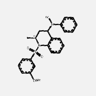 COc1cccc(S(=O)(=O)N2c3ccccc3C(N(C(C)=O)c3ccccc3)C[C@@H]2C)c1